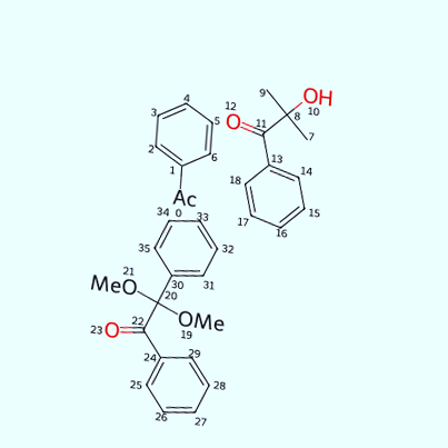 CC(=O)c1ccccc1.CC(C)(O)C(=O)c1ccccc1.COC(OC)(C(=O)c1ccccc1)c1ccccc1